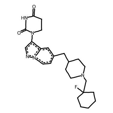 O=C1CCN(c2cnn3ccc(CC4CCN(CC5(F)CCCCC5)CC4)cc23)C(=O)N1